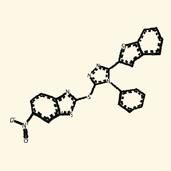 O=[N+]([O-])c1ccc2nc(Sc3nnc(-c4cc5ccccc5s4)n3-c3ccccc3)sc2c1